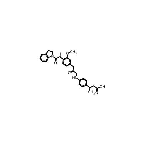 COc1cc(CC(=O)CNc2ccc(C(C)CC(=O)O)cc2)ccc1NC(=O)N1CCc2ccccc21